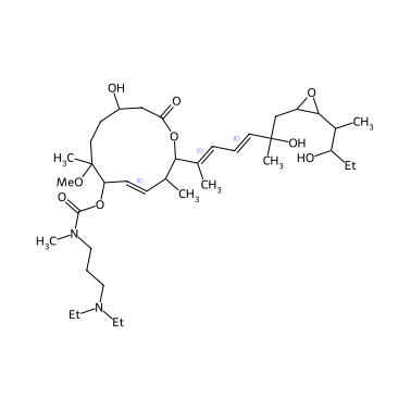 CCC(O)C(C)C1OC1CC(C)(O)/C=C/C=C(\C)C1OC(=O)CC(O)CCC(C)(OC)C(OC(=O)N(C)CCCN(CC)CC)/C=C/C1C